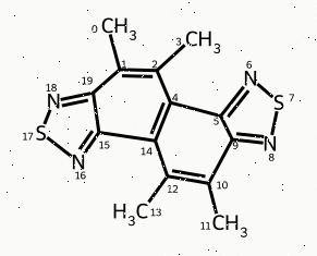 Cc1c(C)c2c3nsnc3c(C)c(C)c2c2nsnc12